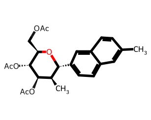 CC(=O)OC[C@H]1O[C@H](c2ccc3cc(C)ccc3c2)[C@@H](C)[C@@H](OC(C)=O)[C@@H]1OC(C)=O